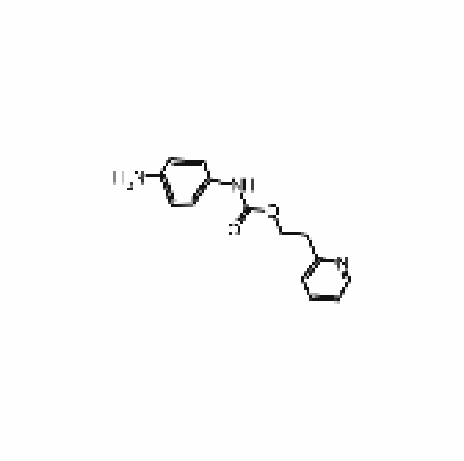 Nc1ccc(NC(=O)OCCc2ccccn2)cc1